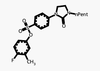 CCCCCN1CCN(c2ccc(S(=O)(=O)Oc3ccc(F)c(C)c3)cc2)C1=O